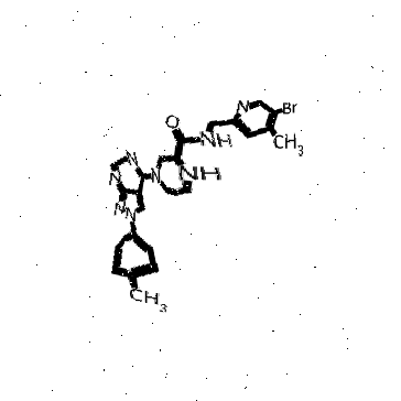 Cc1ccc(-n2cc3c(N4CCNC(C(=O)NCc5cc(C)c(Br)cn5)C4)ncnc3n2)cc1